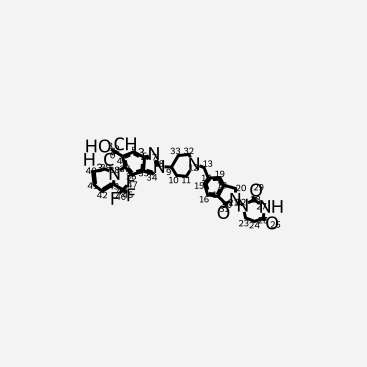 CC(C)(O)c1cc2nn(C3CCN(Cc4ccc5c(c4)CN(N4CCC(=O)NC4=O)C5=O)CC3)cc2cc1N1CC=CC=C1C(F)(F)F